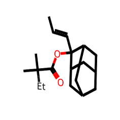 C/C=C/C1(OC(=O)C(C)(C)CC)C2CC3CC(C2)CC1C3